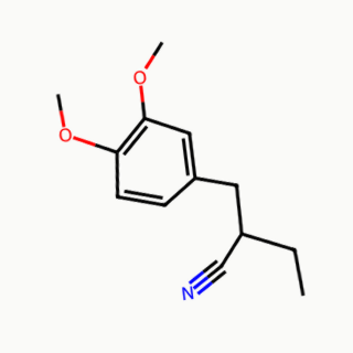 CCC(C#N)Cc1ccc(OC)c(OC)c1